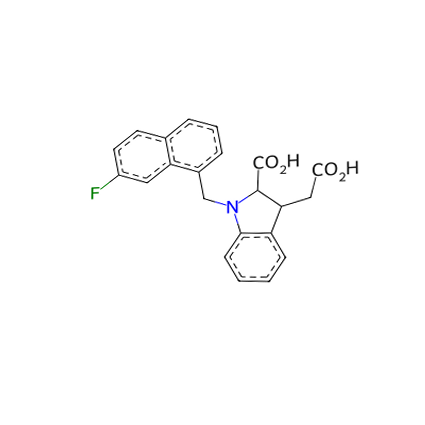 O=C(O)CC1c2ccccc2N(Cc2cccc3ccc(F)cc23)C1C(=O)O